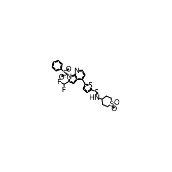 O=S1(=O)CCC(NSc2ccc(-c3ccnc4c3cc(C(F)F)n4S(=O)(=O)c3ccccc3)s2)CC1